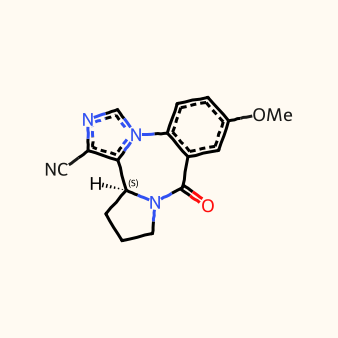 COc1ccc2c(c1)C(=O)N1CCC[C@H]1c1c(C#N)ncn1-2